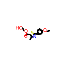 CCOc1ccc(-c2nc(C)c(C(=O)OCCO)s2)cc1